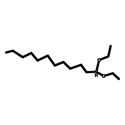 CCCCCCCCCCC[SiH](OCC)OCC